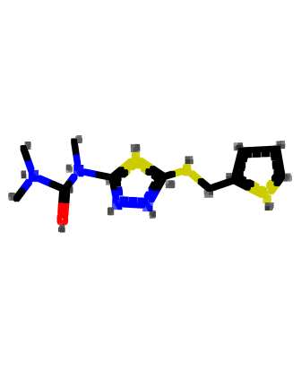 CN(C)C(=O)N(C)c1nnc(SCc2cccs2)s1